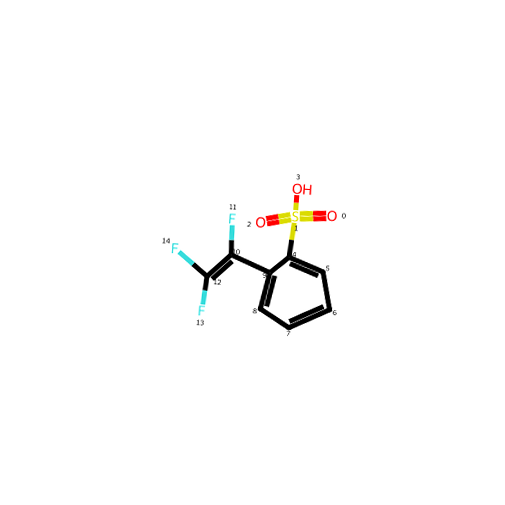 O=S(=O)(O)c1ccccc1C(F)=C(F)F